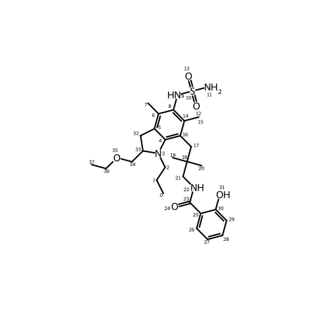 CCCN1c2c(c(C)c(NS(N)(=O)=O)c(C)c2CC(C)(C)CNC(=O)c2ccccc2O)CC1COCC